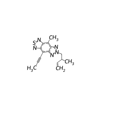 C=CC(C)Cn1nc2c(C)c3c(c(C#CC)c2n1)N=S=N3